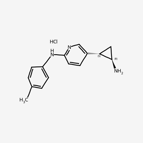 Cc1ccc(Nc2ccc([C@@H]3C[C@H]3N)cn2)cc1.Cl